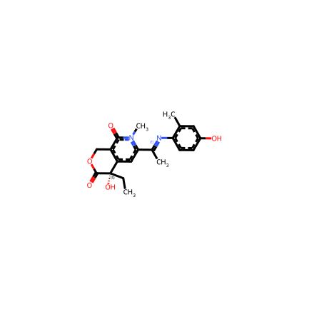 CC[C@@]1(O)C(=O)OCc2c1cc(/C(C)=N/c1ccc(O)cc1C)n(C)c2=O